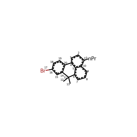 CCCc1ccc2c3c(cccc13)C(C)(C)c1cc(Br)ccc1-2